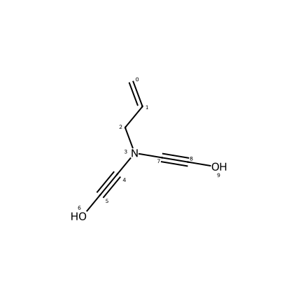 C=CCN(C#CO)C#CO